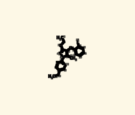 CCOc1nn(-c2ncc(CC)cn2)c(C)c1Oc1ccccc1F